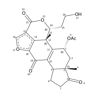 CC(=O)O[C@@H]1C[C@]2(C)C(=O)CCC2C2=C1[C@]1(C)c3c(coc3C2=O)C(=O)O[C@@H]1CCO